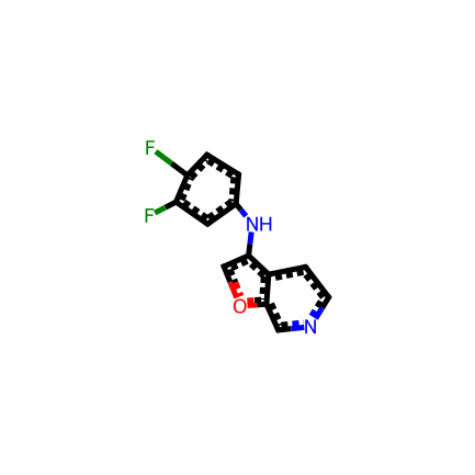 Fc1ccc(Nc2coc3cnccc23)cc1F